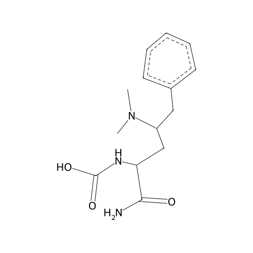 CN(C)C(Cc1ccccc1)CC(NC(=O)O)C(N)=O